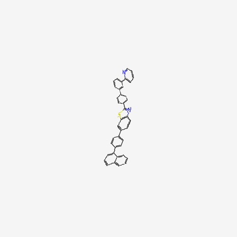 c1ccc(-c2cccc(-c3ccc(-c4nc5ccc(-c6ccc(-c7cccc8ccccc78)cc6)cc5s4)cc3)c2)nc1